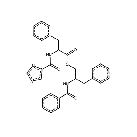 O=C(NC(COC(=O)C(Cc1ccccc1)NC(=O)n1cncn1)Cc1ccccc1)c1ccccc1